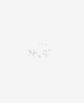 CC(O)C1C(=O)N2C(C(=O)O)=C(Oc3ccc(C(N)=O)cc3)SC12